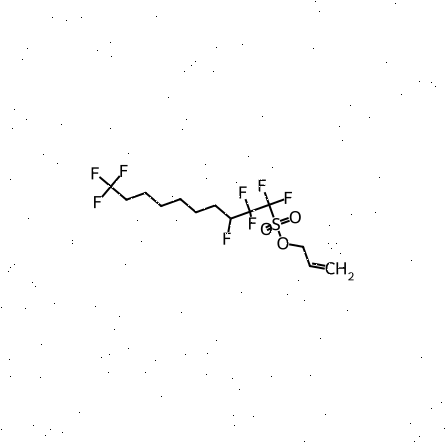 C=CCOS(=O)(=O)C(F)(F)C(F)(F)C(F)CCCCCCC(F)(F)F